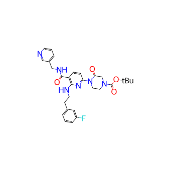 CC(C)(C)OC(=O)N1CCN(c2ccc(C(=O)NCc3cccnc3)c(NCCc3cccc(F)c3)n2)C(=O)C1